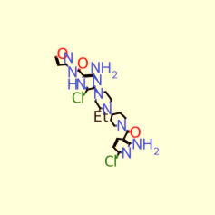 CC[C@H]1CN(c2nc(N)c(C(=O)Nc3ccon3)nc2Cl)CCN1C1CCN(C(=O)c2ccc(Cl)nc2N)CC1